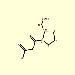 C=C(C)OC(=O)N1CCC[C@H]1COC